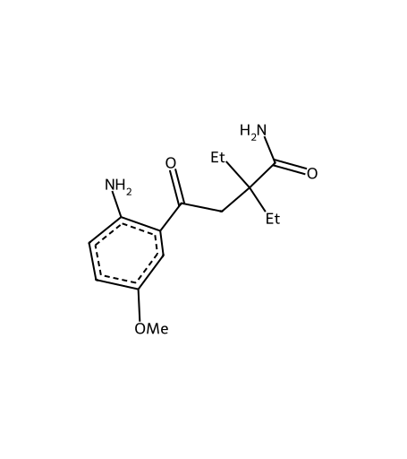 CCC(CC)(CC(=O)c1cc(OC)ccc1N)C(N)=O